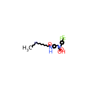 CCCC/C=C\CCCCCCCC(=O)Nc1ccc(CN(CC(=O)O)Cc2ccc(C(F)(F)F)cc2)cc1